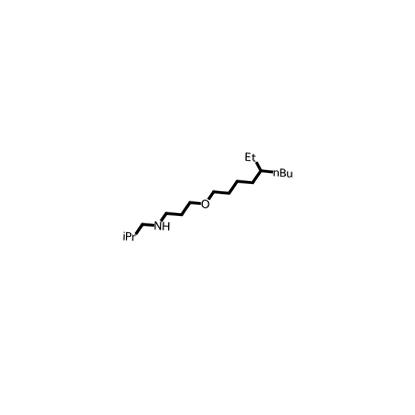 CCCCC(CC)CCCCOCCCNCC(C)C